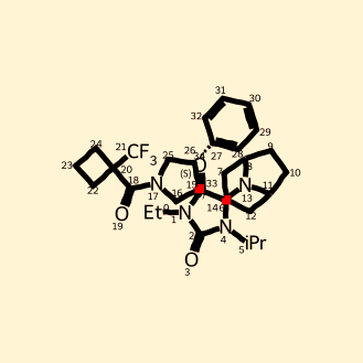 CCN1C(=O)N(C(C)C)C2(CC3CCC(C2)N3C[C@H]2CN(C(=O)C3(C(F)(F)F)CCC3)C[C@@H]2c2ccccc2)C1=O